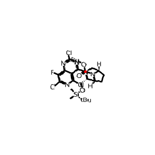 CC(C)(C)OC(=O)N1[C@H]2CC[C@@H]1[C@H](CO[Si](C)(C)C(C)(C)C)N(c1nc(Cl)nc3c(F)c(Cl)nc(Cl)c13)C2